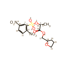 C[C@H](OS(=O)(=O)c1cc([N+](=O)[O-])ccc1[N+](=O)[O-])C(=O)OCC1CCCO1